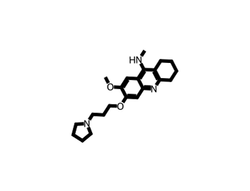 CNc1c2c(nc3cc(OCCCN4CCCC4)c(OC)cc13)CCCC2